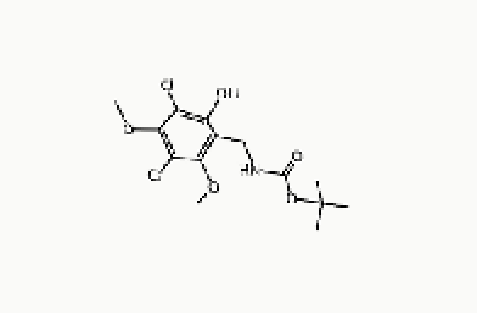 COc1c(Cl)c(O)c(CNC(=O)OC(C)(C)C)c(OC)c1Cl